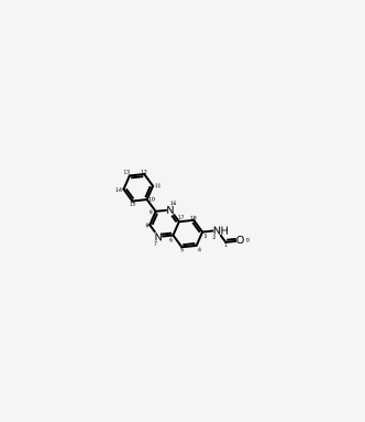 O=CNc1ccc2ncc(-c3ccccc3)nc2c1